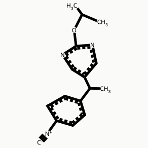 [C-]#[N+]c1ccc(C(C)c2cnc(OC(C)C)nc2)cc1